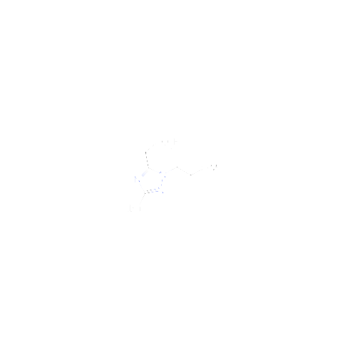 CCOC(=O)Cc1nc(C(C)(C)C)nn1CCOC